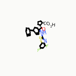 O=C(O)[C@H]1CCC[C@@H]1C(=O)C1(Nc2nc3c(F)cc(F)cc3s2)C=CC(c2ccccc2)C=C1